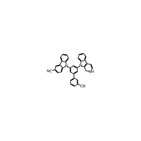 N#Cc1cccc(-c2cc(-n3c4c(c5ccccc53)C=CNC4)cc(-n3c4ccccc4c4cc(C#N)ccc43)c2)c1